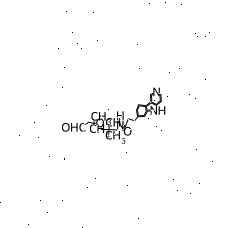 CC(C)(CNC(=O)CCc1ccc2c(c1)[nH]c1ccncc12)COC(C)(C)CC=O